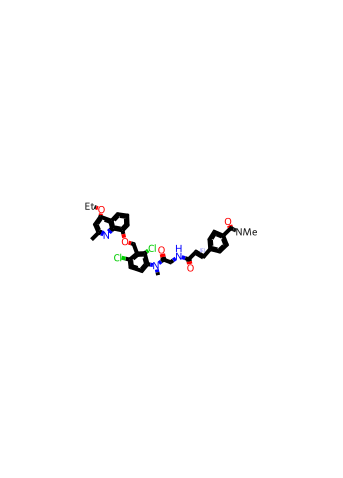 CCOc1cc(C)nc2c(OCc3c(Cl)ccc(N(C)C(=O)CNC(=O)/C=C/c4ccc(C(=O)NC)cc4)c3Cl)cccc12